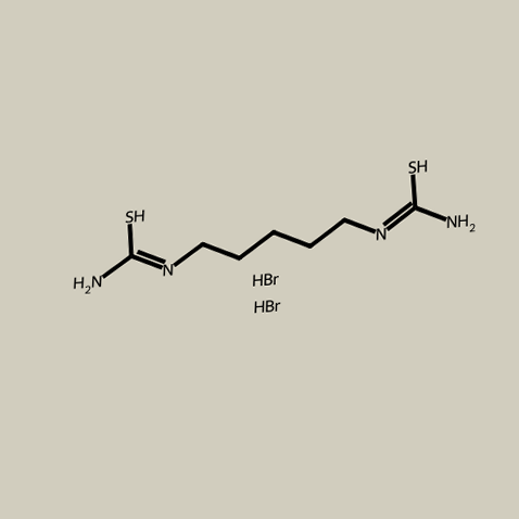 Br.Br.NC(S)=NCCCCCN=C(N)S